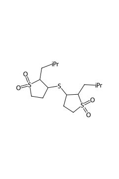 CC(C)CC1C(SC2CCS(=O)(=O)C2CC(C)C)CCS1(=O)=O